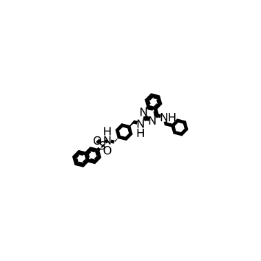 O=S(=O)(NC[C@H]1CC[C@H](CNc2nc(NCC3CCCCC3)c3ccccc3n2)CC1)c1ccc2ccccc2c1